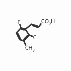 Cc1ccc(F)c(C=CC(=O)O)c1Cl